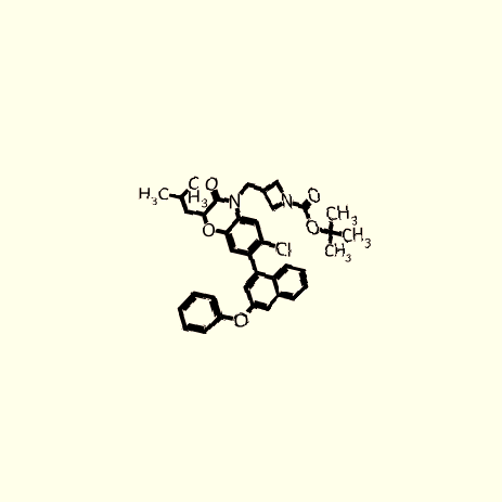 CC(C)CC1Oc2cc(-c3cc(Oc4ccccc4)cc4ccccc34)c(Cl)cc2N(CC2CN(C(=O)OC(C)(C)C)C2)C1=O